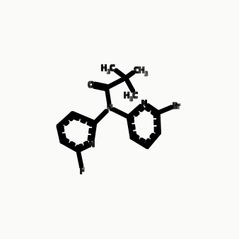 CC(C)(C)C(=O)N(c1cccc(F)n1)c1cccc(Br)n1